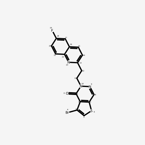 O=c1c2c(Br)csc2cnn1CCc1ccc2cc(F)ccc2n1